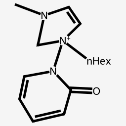 CCCCCC[N+]1(n2ccccc2=O)C=CN(C)C1